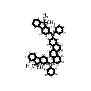 CC1(C)c2ccccc2-c2ccc(N(c3ccccc3)c3ccc4c(ccc5c6cccc(N(c7ccccc7)c7ccc8c(c7)C(C)(C)c7ccccc7-8)c6ccc45)c3)cc21